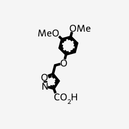 COc1ccc(OCc2cc(C(=O)O)no2)cc1OC